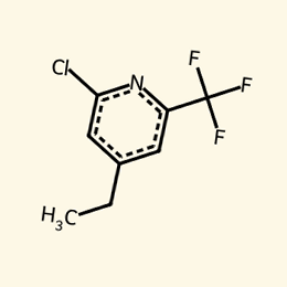 CCc1cc(Cl)nc(C(F)(F)F)c1